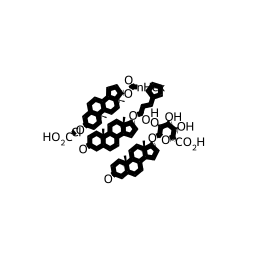 CCCCCCC(=O)O[C@H]1CCC2C3CCC4CC(=O)CC[C@]4(C)C3CC[C@@]21C.C[C@]12CCC(=O)CC1CCC1C2CC[C@@]2(C)C1CC[C@@H]2OC(=O)CCC1CCCC1.C[C@]12CCC(=O)CC1CCC1C2CC[C@@]2(C)C1CC[C@@H]2OC1O[C@H](C(=O)O)[C@@H](O)[C@H](O)[C@H]1O.O=C(O)Cl